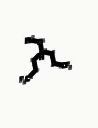 CCO[SiH](CCC(F)(F)F)CCC(F)(F)F